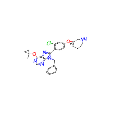 CC1(Oc2ncnc3c2nc(-c2ccc(O[C@@H]4CCCNC4)cc2Cl)n3Cc2ccccc2)CC1